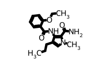 CCCc1cn(C)c(C(N)=O)c1NC(=O)c1ccccc1OCC